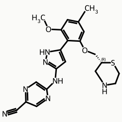 COc1cc(C)cc(OC[C@H]2CNCCS2)c1-c1cc(Nc2cnc(C#N)cn2)n[nH]1